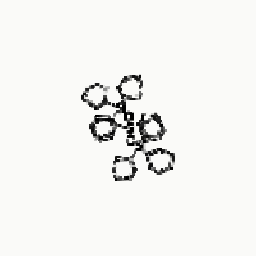 c1ccc([Si](O[Si](c2ccccc2)(c2ccccc2)c2ccccc2)(O[Si](c2ccccc2)(c2ccccc2)c2ccccc2)c2ccccc2)cc1